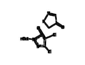 CCCCCCCCn1sc(Cl)c(Cl)c1=O.O=C1C=NSC1